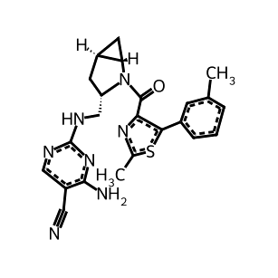 Cc1cccc(-c2sc(C)nc2C(=O)N2[C@H](CNc3ncc(C#N)c(N)n3)C[C@H]3C[C@@H]32)c1